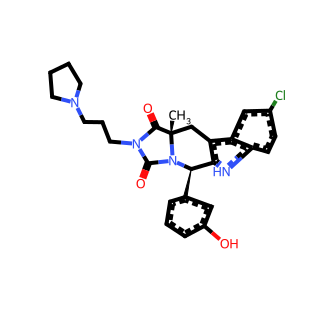 C[C@@]12Cc3c([nH]c4ccc(Cl)cc34)[C@@H](c3cccc(O)c3)N1C(=O)N(CCCN1CCCC1)C2=O